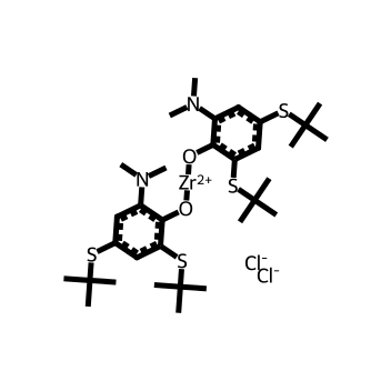 CN(C)c1cc(SC(C)(C)C)cc(SC(C)(C)C)c1[O][Zr+2][O]c1c(SC(C)(C)C)cc(SC(C)(C)C)cc1N(C)C.[Cl-].[Cl-]